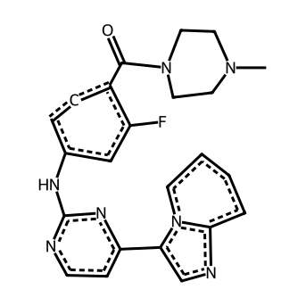 CN1CCN(C(=O)c2ccc(Nc3nccc(-c4cnc5ccccn45)n3)cc2F)CC1